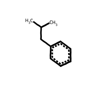 CC(C)Cc1ccccc1